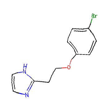 Brc1ccc(OCCc2ncc[nH]2)cc1